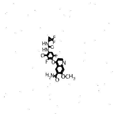 COc1cc2nccc(Oc3c(F)cc(NC(=O)NC4CC4(F)F)c(Cl)c3F)c2cc1C(N)=O